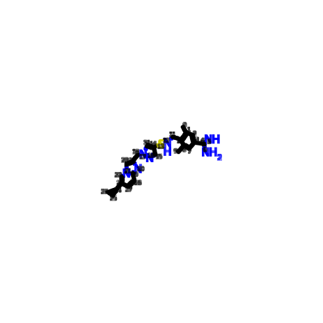 Cc1cc(C(=N)N)cc(C)c1CNSc1cnn(Cc2cn3cc(C4CC4)ccc3n2)c1